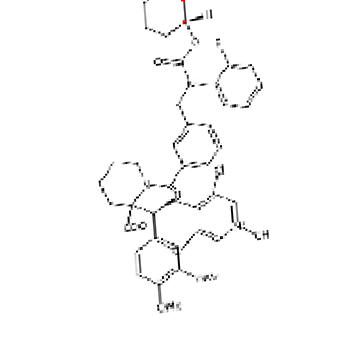 COc1ccc([C@H](Cc2c(Cl)c[n+](O)cc2Cl)[C@]2(C(=O)[O-])CCCCN2C(=O)c2cccc(CN(C(=O)O[C@H]3CN4CCC3CC4)c3ccccc3F)c2)cc1OC